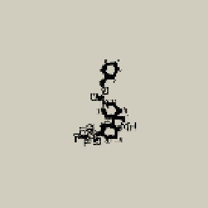 O=C(OCc1ccccc1)N1CCC2(CC1)CNc1ccc(S(=O)(=O)C(F)(F)F)cc12